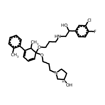 Cc1ccccc1C1=CC=CC(OCCCNCC(O)c2ccc(F)c(Cl)c2)(OCCCN2CC[C@@H](O)C2)C1C